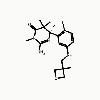 CN1C(=O)C(C)(C)[C@@](C)(c2cc(NCC3(C)COC3)ccc2F)N=C1N